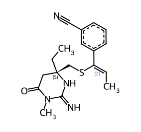 C/C=C(\SC[C@]1(CC)CC(=O)N(C)C(=N)N1)c1cccc(C#N)c1